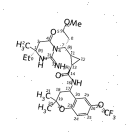 CC[C@]1(C)CC(=O)N([C@H](CCOC)C2C[C@H]2C(=O)NC2CC(C)(C)Oc3ccc(OC(F)(F)F)cc32)C(=N)N1